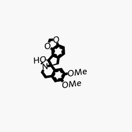 COc1cc2c(cc1OC)[C@]1(Cc3ccc4c(c3[C@H]1O)OCO4)N(C)CC2